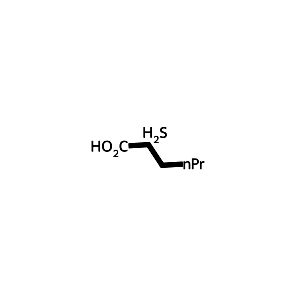 CCCCCC(=O)O.S